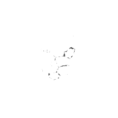 Cc1ccc2c(c1)C(C=O)OC(c1c(F)cccc1Cl)=N2